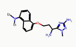 CCN(CC)c1cccc2c(OCCC(N)c3nc(N)nn3C)cccc12